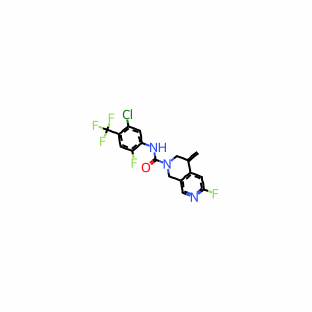 C=C1CN(C(=O)Nc2cc(Cl)c(C(F)(F)F)cc2F)Cc2cnc(F)cc21